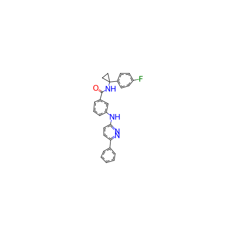 O=C(NC1(c2ccc(F)cc2)CC1)c1cccc(Nc2ccc(-c3ccccc3)nn2)c1